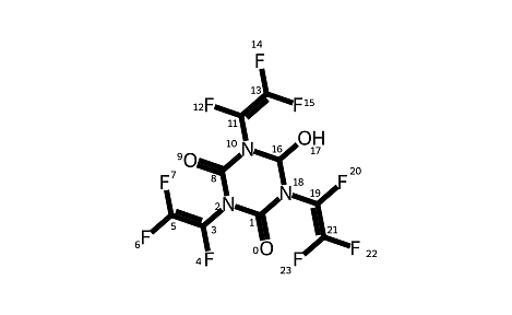 O=C1N(C(F)=C(F)F)C(=O)N(C(F)=C(F)F)C(O)N1C(F)=C(F)F